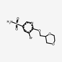 NS(=O)(=O)c1cnc(OCC2COCCO2)c(Br)c1